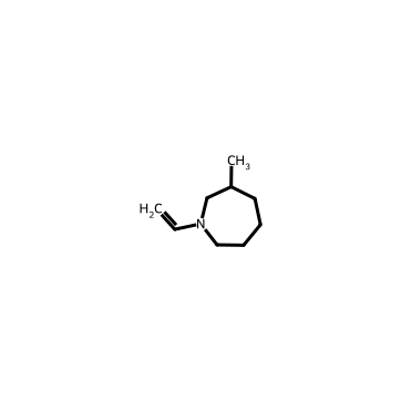 C=CN1CCCCC(C)C1